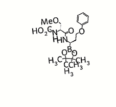 COC[C@@H](NC(=O)O)C(=O)N[C@@H](CCOc1ccccc1)B1OC(C)(C)C(C)(C)O1